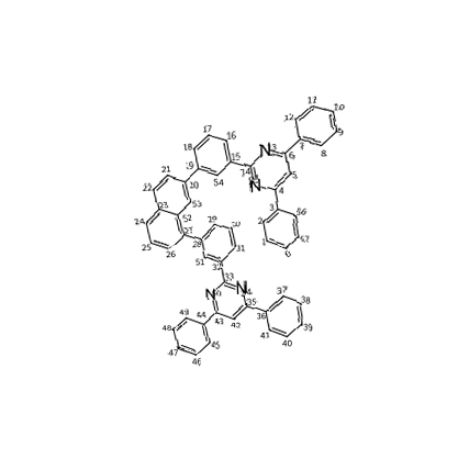 c1ccc(-c2cc(-c3ccccc3)nc(-c3cccc(-c4ccc5cccc(-c6cccc(-c7nc(-c8ccccc8)cc(-c8ccccc8)n7)c6)c5c4)c3)n2)cc1